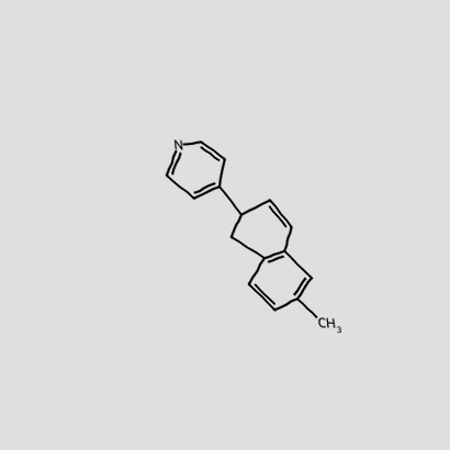 Cc1ccc2c(c1)C=CC(c1ccncc1)C2